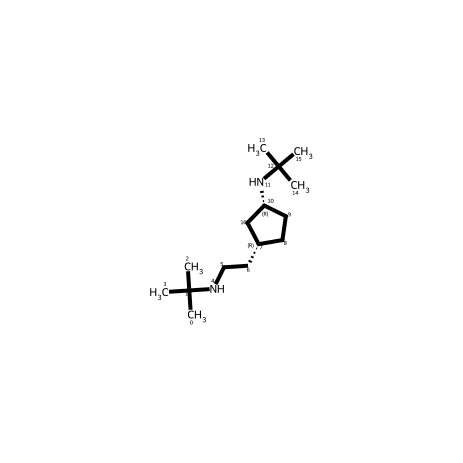 CC(C)(C)NCC[C@H]1CC[C@@H](NC(C)(C)C)C1